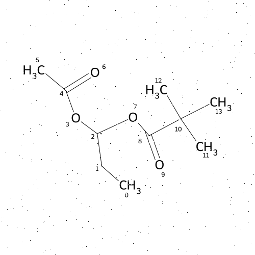 CC[C](OC(C)=O)OC(=O)C(C)(C)C